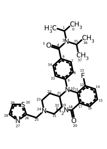 CC(C)N(C(=O)c1ccc(N(c2c(F)cccc2C(N)=O)C2CCN(Cc3nccs3)CC2)cc1)C(C)C